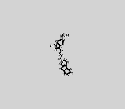 OCc1ccc2c(CSCCN3CCC4=C(Cc5ccccc54)C3)c[nH]c2c1